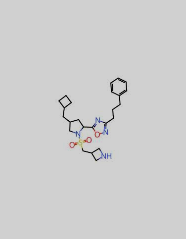 O=S(=O)(CC1CNC1)N1CC(CC2CCC2)CC1c1nc(CCCc2ccccc2)no1